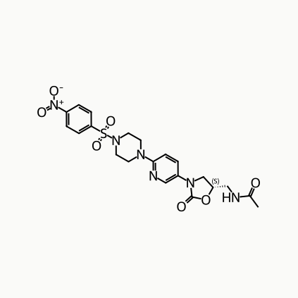 CC(=O)NC[C@H]1CN(c2ccc(N3CCN(S(=O)(=O)c4ccc([N+](=O)[O-])cc4)CC3)nc2)C(=O)O1